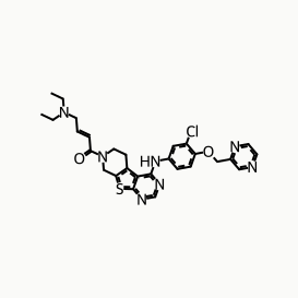 CCN(CC)C/C=C/C(=O)N1CCc2c(sc3ncnc(Nc4ccc(OCc5cnccn5)c(Cl)c4)c23)C1